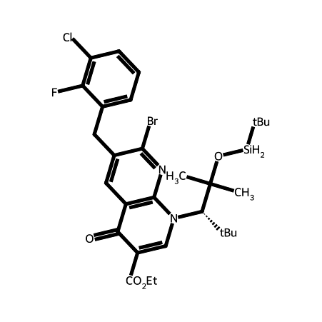 CCOC(=O)c1cn([C@@H](C(C)(C)C)C(C)(C)O[SiH2]C(C)(C)C)c2nc(Br)c(Cc3cccc(Cl)c3F)cc2c1=O